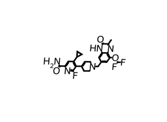 Cc1nc2c(OC(F)F)cc(CN3CC=C(c4c(C5CC5)cc(C(N)=O)nc4F)CC3)cc2[nH]c1=O